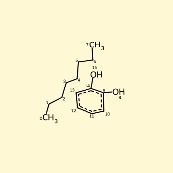 CCCCCCCC.Oc1ccccc1O